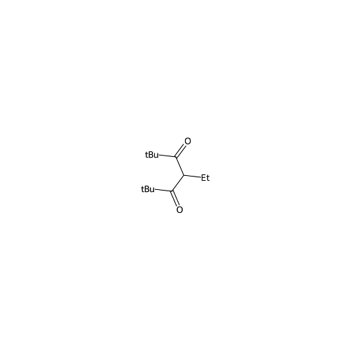 CCC(C(=O)C(C)(C)C)C(=O)C(C)(C)C